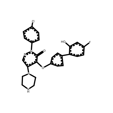 O=c1c(Oc2ccc(-c3ccc(F)cc3O)cc2)c(N2CCNCC2)cnn1-c1ccc(Cl)cc1